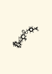 O=C(OCc1ccc(C2CC2)cc1)N1CCC(CNc2cncc3nncn23)C(F)C1